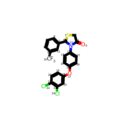 O=C1CSC(c2cccc(C(F)(F)F)c2)N1c1ccc(Oc2ccc(Cl)c(Cl)c2)cc1